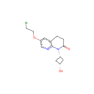 O=C1CCc2cc(OCCBr)cnc2N1[C@H]1C[C@@H](O)C1